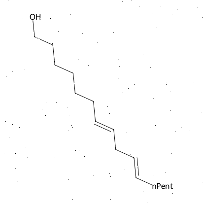 CCCCCC=CCC=CCCCCCCO